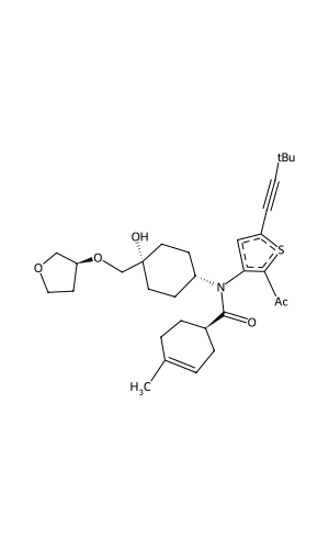 CC(=O)c1sc(C#CC(C)(C)C)cc1N(C(=O)[C@H]1CC=C(C)CC1)[C@H]1CC[C@](O)(CO[C@H]2CCOC2)CC1